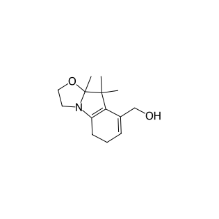 CC1(C)C2=C(CCC=C2CO)N2CCOC21C